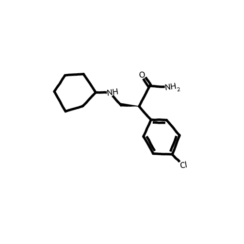 NC(=O)[C@H](CNC1CCCCC1)c1ccc(Cl)cc1